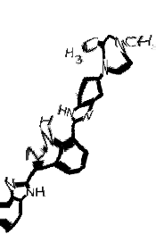 CC1CN(C)CCN1c1ccc2[nH]c(-c3cccc4c(-c5nc6ccccc6[nH]5)n[nH]c34)nc2c1